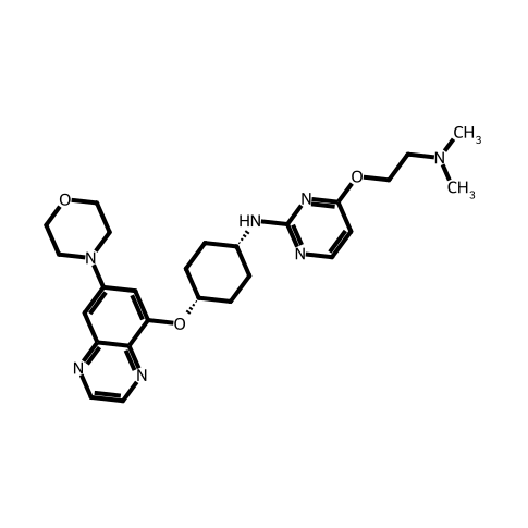 CN(C)CCOc1ccnc(N[C@H]2CC[C@@H](Oc3cc(N4CCOCC4)cc4nccnc34)CC2)n1